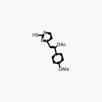 COc1ccc(C(=Cc2ccnc(S)n2)OC(C)=O)cc1